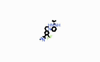 C=C(C)[C@@H]1Nc2cccc(N3CCCc4cc(-c5cnn(C)c5)c(C(F)F)cc43)c2N1